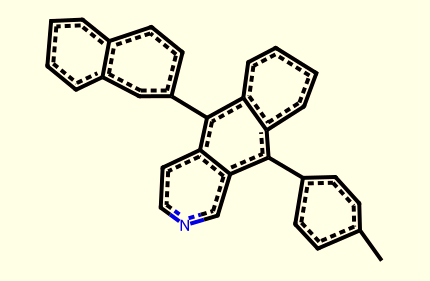 Cc1ccc(-c2c3ccccc3c(-c3ccc4ccccc4c3)c3ccncc23)cc1